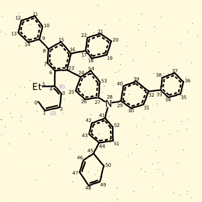 C/C=C\C=C(/CC)c1cc(-c2ccccc2)cc(-c2ccccc2)c1-c1ccc(N(c2ccc(-c3ccccc3)cc2)c2ccc(C3C=CC=CC3)cc2)cc1